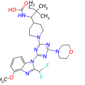 COc1cccc2c1nc(C(F)F)n2-c1nc(N2CCOCC2)nc(N2CCC(C(NC(=O)O)C(C)(C)C)CC2)n1